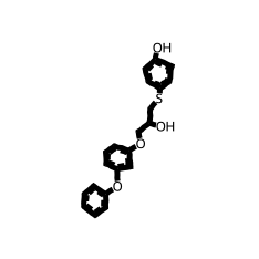 Oc1ccc(SCC(O)COc2cccc(Oc3ccccc3)c2)cc1